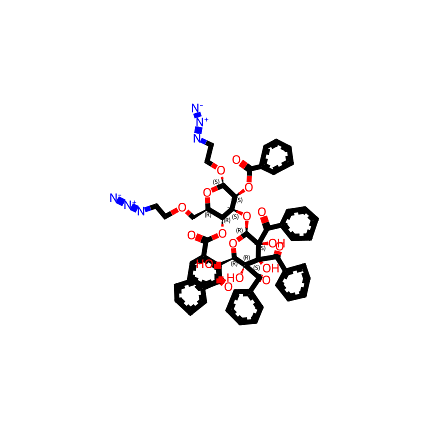 [N-]=[N+]=NCCOC[C@H]1O[C@H](OCCN=[N+]=[N-])[C@@H](OC(=O)c2ccccc2)[C@@H](O[C@@H]2O[C@H](C(O)C(=O)c3ccccc3)[C@](O)(C(=O)c3ccccc3)[C@@](O)(C(=O)c3ccccc3)[C@@]2(O)C(=O)c2ccccc2)[C@@H]1OC(=O)c1ccccc1